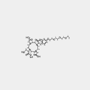 CCOCCOCCOCCOc1ccc(CC(C(=O)O)N2CCN(CC(=O)O)CCN(C(CO)C(=O)[O][Gd])CCN(CC(=O)O)CC2)cc1